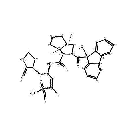 CS(=O)(=O)/C(F)=C\[C@@H](C[C@@H]1CCNC1=O)NC(=O)[C@H]1[C@H]2CCC[C@H]2CN1C(=O)C1(O)c2ccccc2-c2ccccc21